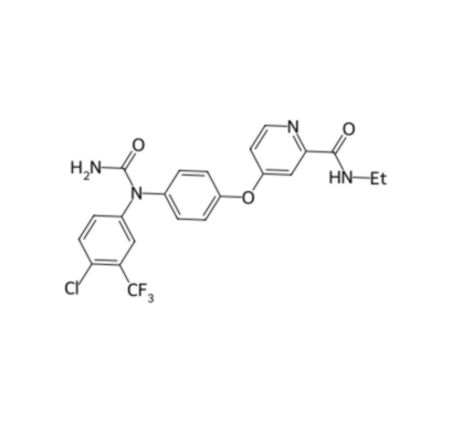 CCNC(=O)c1cc(Oc2ccc(N(C(N)=O)c3ccc(Cl)c(C(F)(F)F)c3)cc2)ccn1